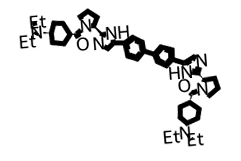 CCN(CC)[C@H]1CC[C@@H](C(=O)N2CCC[C@H]2C2=NCC(c3ccc(-c4ccc(-c5cnc([C@@H]6CCCN6C(=O)[C@H]6CC[C@@H](N(CC)CC)CC6)[nH]5)cc4)cc3)N2)CC1